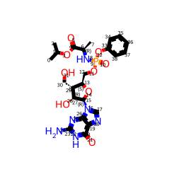 CC(C)OC(=O)[C@@H](C)NP(=O)(OC[C@H]1O[C@@H](n2cnc3c(=O)[nH]c(N)nc32)[C@H](O)[C@@H]1CO)Oc1ccccc1